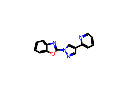 c1ccc(-c2cnn(-c3nc4ccccc4o3)c2)nc1